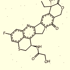 CC[C@@]1(O)C(=O)OCc2c1cc1n(c2=O)Cc2c-1nc1cc(F)cc3c1c2[C@@H](NC(=O)CO)CS3